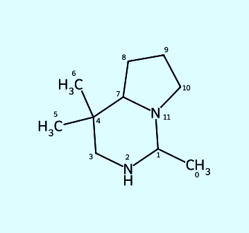 CC1NCC(C)(C)C2CCCN12